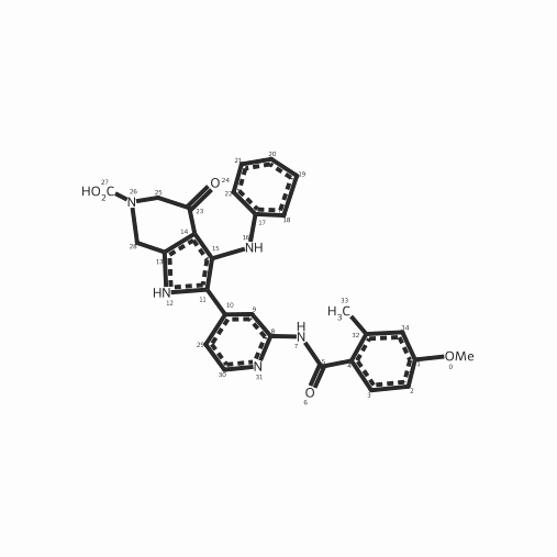 COc1ccc(C(=O)Nc2cc(-c3[nH]c4c(c3Nc3ccccc3)C(=O)CN(C(=O)O)C4)ccn2)c(C)c1